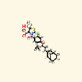 C[C@@H]1SCN(C(=O)c2cc(C3CC3)c(OCCCC3CC4CCCC(C3)C4)cc2F)[C@@H]1C(=O)O